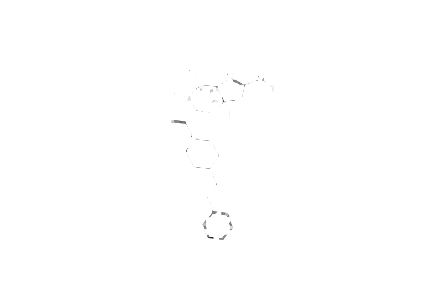 CCNC1=N[C@@H]2[C@@H](O)[C@H](O)[C@@H](C(=O)N3CCC(CCc4ccccc4)CC3)O[C@@H]2S1